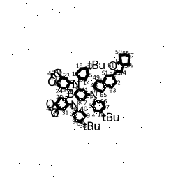 CC(C)(C)c1ccc(N(c2cc3c4c(c2)N(c2ccc(C(C)(C)C)cc2)c2cc5c(cc2B4c2cc4c(cc2N3c2ccc(C(C)(C)C)cc2)OCO4)OCO5)c2ccc3cc(-c4cc5ccccc5o4)ccc3c2)cc1